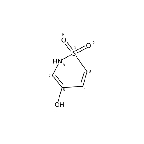 O=S1(=O)C=CC(O)=CN1